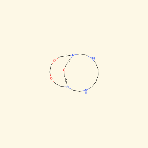 C1CCNCCN2CCOCCOCCN(CCNCC1)CCOCC2